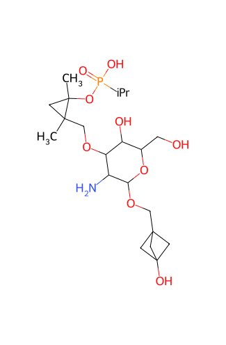 CC(C)P(=O)(O)OC1(C)CC1(C)COC1C(N)C(OCC23CC(O)(C2)C3)OC(CO)C1O